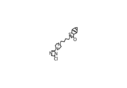 O=C1C2C3C=CC(C4CC34)C2SN1CCCCN1CCN(c2cncc(Cl)n2)CC1